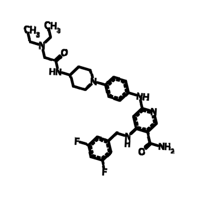 CCN(CC)CC(=O)NC1CCN(c2ccc(Nc3cc(NCc4cc(F)cc(F)c4)c(C(N)=O)cn3)cc2)CC1